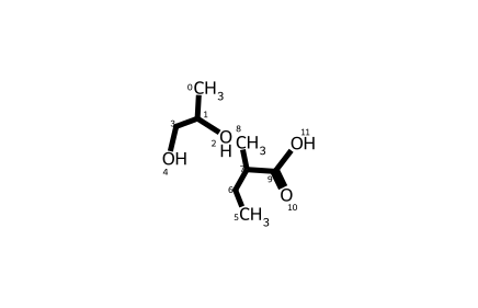 CC(O)CO.CCC(C)C(=O)O